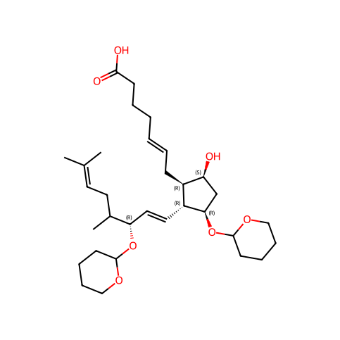 CC(C)=CCC(C)[C@H](C=C[C@@H]1[C@@H](CC=CCCCC(=O)O)[C@@H](O)C[C@H]1OC1CCCCO1)OC1CCCCO1